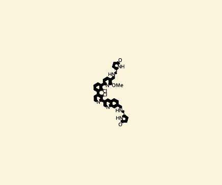 COc1nc(-c2cccc(-c3ccnc(-c4cnc5cc(CNC[C@@H]6CCC(=O)N6)ccc5c4)c3Cl)c2Cl)ccc1CNC[C@@H]1CCC(=O)N1